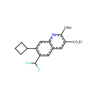 CCOC(=O)c1cc2cc(C(F)F)c(C3CCC3)cc2nc1OC